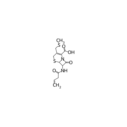 C=CCC(=O)NC1C(=O)N2C(C(=O)O)=C(CSC)CSC12